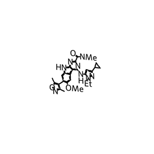 CCn1nc(C2CC2)cc1Nc1nc(C(=O)NC)nc2[nH]c3cc(-c4c(C)noc4C)c(OC)cc3c12